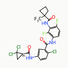 O=C(Nc1ccc(F)c(NC(=O)C2(C(F)(F)F)CCC2)c1F)c1cc(NC(=O)[C@H]2CC2(Cl)Cl)ccc1Cl